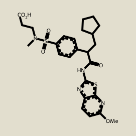 COc1ccc2nc(NC(=O)C(CC3CCCC3)c3ccc(S(=O)(=O)N(C)CCC(=O)O)cc3)sc2n1